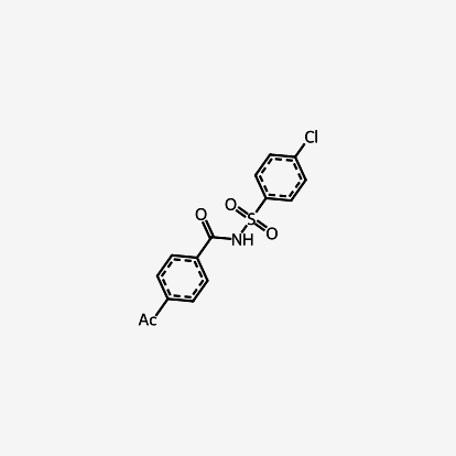 CC(=O)c1ccc(C(=O)NS(=O)(=O)c2ccc(Cl)cc2)cc1